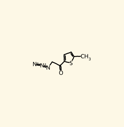 Cc1ccc(C(=O)CN=[N+]=[N-])s1